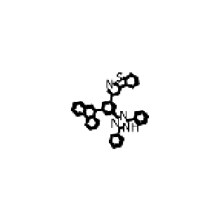 c1ccc(C2=NC(c3cc(-c4cnc5sc6ccccc6c5c4)cc(-c4cc5ccccc5c5ccccc45)c3)=NC(c3ccccc3)N2)cc1